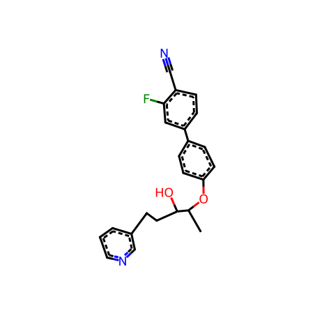 CC(Oc1ccc(-c2ccc(C#N)c(F)c2)cc1)C(O)CCc1cccnc1